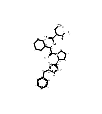 CCC(NC)C(=O)N[C@H](C(=O)N1CCC[C@H]1c1nnn(Cc2ccccc2)n1)C1CCCCC1